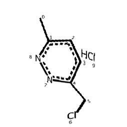 Cc1ccc(CCl)nn1.Cl